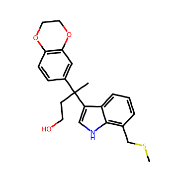 CSCc1cccc2c(C(C)(CCO)c3ccc4c(c3)OCCO4)c[nH]c12